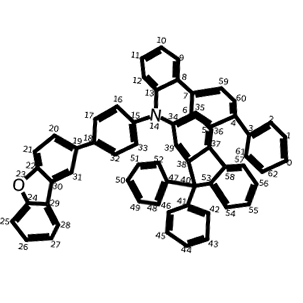 c1ccc(-c2ccc(-c3ccccc3N(c3ccc(-c4ccc5oc6ccccc6c5c4)cc3)c3ccc4c(c3)C(c3ccccc3)(c3ccccc3)c3ccccc3-4)cc2)cc1